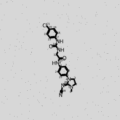 CN1CCN(c2ccc(NC(=O)CNC(=O)Nc3ccc(Cl)cc3)cc2)/C1=N/C#N